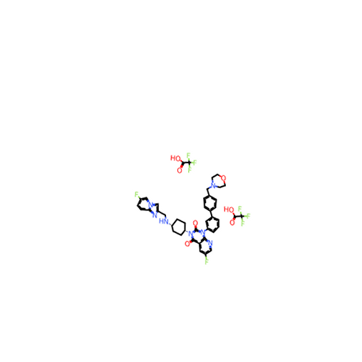 O=C(O)C(F)(F)F.O=C(O)C(F)(F)F.O=c1c2cc(F)cnc2n(-c2cccc(-c3ccc(CN4CCOCC4)cc3)c2)c(=O)n1[C@H]1CC[C@@H](NCc2cn3cc(F)ccc3n2)CC1